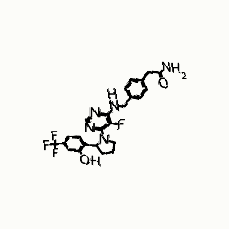 NC(=O)Cc1ccc(CNc2ncnc(N3CCCC3c3ccc(C(F)(F)F)cc3O)c2F)cc1